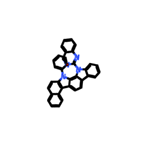 c1ccc(-n2c3ccc4ccccc4c3c3ccc4c5ccccc5n(-c5ncc6ccccc6n5)c4c32)cc1